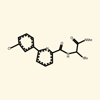 CNC(=O)C(NC(=O)c1cccc(-c2cccc(Cl)c2)n1)C(C)(C)C